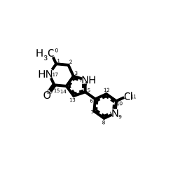 CC1Cc2[nH]c(-c3ccnc(Cl)c3)cc2C(=O)N1